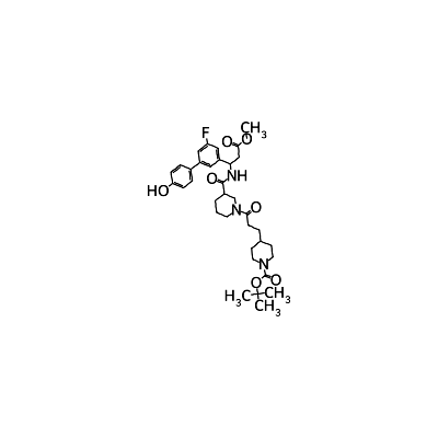 COC(=O)CC(NC(=O)C1CCCN(C(=O)CCC2CCN(C(=O)OC(C)(C)C)CC2)C1)c1cc(F)cc(-c2ccc(O)cc2)c1